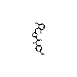 CC(C)(C)c1ccc(NC(=O)c2csc(Cc3c(Cl)cccc3Cl)n2)cc1